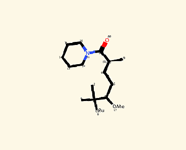 CCCCC(C)(C)C(CC[C@H](C)C(=O)N1CCCCC1)OC